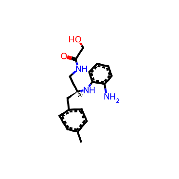 Cc1ccc(C[C@@H](CNC(=O)CO)Nc2ccccc2N)cc1